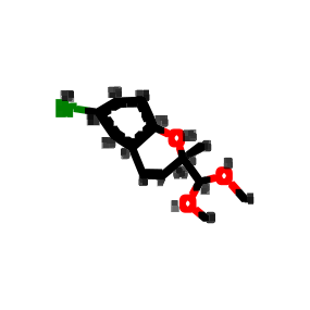 COC(OC)[C@]1(C)C=Cc2cc(Br)ccc2O1